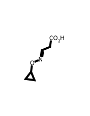 O=C(O)CC=NOC1CC1